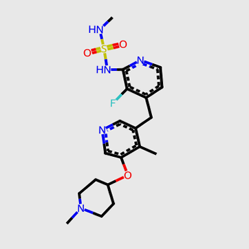 CNS(=O)(=O)Nc1nccc(Cc2cncc(OC3CCN(C)CC3)c2C)c1F